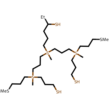 CCC(S)CCCS(C)(CCCS(C)(CCCS)CCCSC)CCCS(C)(CCCS)CCCSC